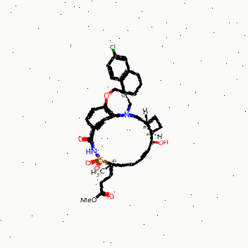 COC(=O)CC[C@@]1(C)CC/C=C\C(O)[C@@H]2CC[C@H]2CN2C[C@@]3(CCCc4cc(Cl)ccc43)COc3ccc(cc32)C(=O)NS1(=O)=O